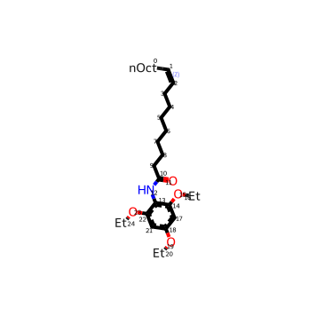 CCCCCCCC/C=C\CCCCCCCC(=O)Nc1c(OCC)cc(OCC)cc1OCC